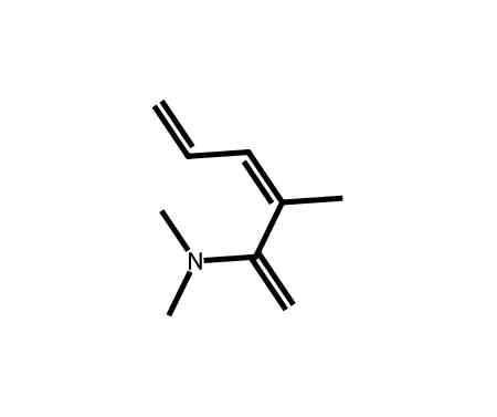 C=C/C=C(/C)C(=C)N(C)C